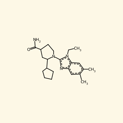 CCn1c(N2CCC(C(N)=O)CC2C2CCCC2)nc2cc(C)c(C)cc21